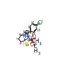 COC(=O)[C@@H]1C2CCC(C[C@@H]1c1ccc(Cl)cc1)[N+]2(C)CC(C)S